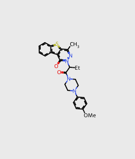 CCC(C(=O)N1CCN(c2ccc(OC)cc2)CC1)n1nc(C)c2sc3ccccc3c2c1=O